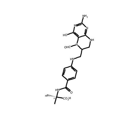 CCC[C@](C)(NC(=O)c1ccc(NCC2CNc3nc(N)nc(O)c3N2C=O)cc1)C(=O)O